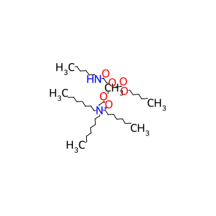 CCCCCCCC[N+](CCCCCCCC)(CCCCCCCC)CC(=O)OCC.CCCCCCNC(=O)COCC(=O)OCCCCCC